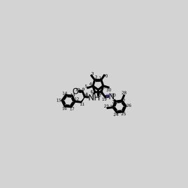 CC1=C(C)C2(C)C(N[C@H](C=O)Cc3ccccc3)C(/C=N/c3c(C)cccc3C)C1(C)C2C